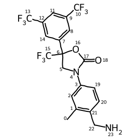 Cc1cc(N2CC(c3cc(C(F)(F)F)cc(C(F)(F)F)c3)(C(F)(F)F)OC2=O)ccc1CN